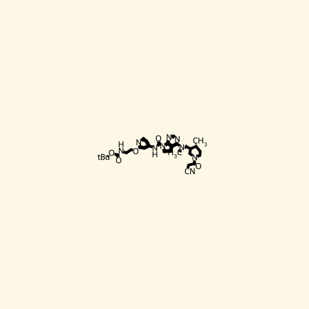 C[C@@H]1CCN(C(=O)CC#N)CC1/C=[N+](\C)c1ncnc2c1ccn2C(=O)Nc1ccnc(OCCNC(=O)OC(C)(C)C)c1